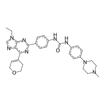 CCn1cnc2c(C3=CCOCC3)nc(-c3ccc(NC(=O)Nc4ccc(N5CCN(C)CC5)cc4)cc3)nc21